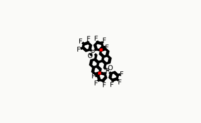 O=P(Cc1ccc2ccccc2c1-c1c(CP(=O)(c2cc(F)c(F)c(F)c2)c2cc(F)c(F)c(F)c2)ccc2ccccc12)(c1cc(F)c(F)c(F)c1)c1cc(F)c(F)c(F)c1